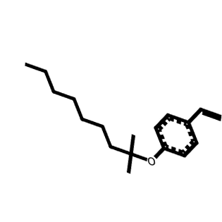 C=Cc1ccc(OC(C)(C)CCCCCCC)cc1